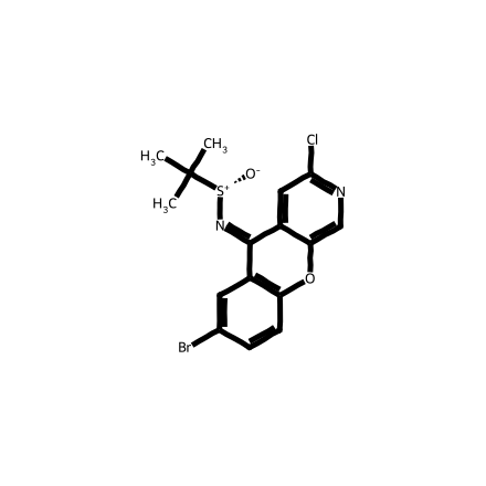 CC(C)(C)[S@+]([O-])N=c1c2cc(Br)ccc2oc2cnc(Cl)cc12